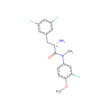 COc1ccc(N(C)C(=O)[C@@H](N)Cc2cc(F)cc(F)c2)cc1F